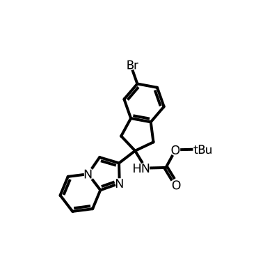 CC(C)(C)OC(=O)NC1(c2cn3ccccc3n2)Cc2ccc(Br)cc2C1